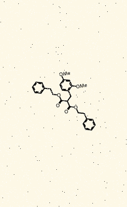 COc1ccc(CC(C(=O)OCCc2ccccc2)C(=O)OCCc2ccccc2)c(OC)c1